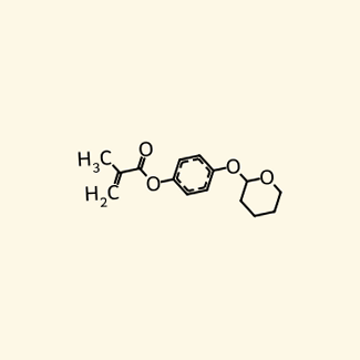 C=C(C)C(=O)Oc1ccc(OC2CCCCO2)cc1